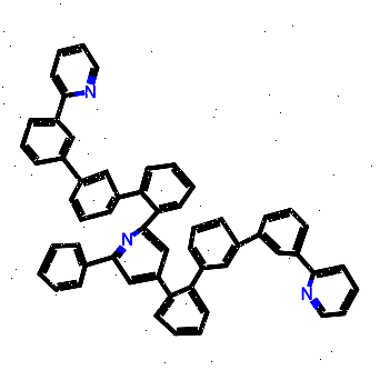 c1ccc(-c2cc(-c3ccccc3-c3cccc(-c4cccc(-c5ccccn5)c4)c3)cc(-c3ccccc3-c3cccc(-c4cccc(-c5ccccn5)c4)c3)n2)cc1